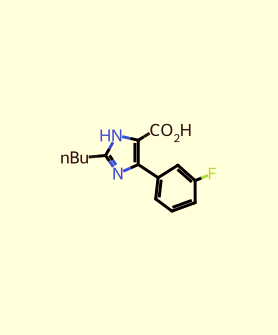 CCCCc1nc(-c2cccc(F)c2)c(C(=O)O)[nH]1